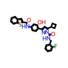 O=C(Nc1ccc(-c2cc(C3CCC3)n(C(=O)NCc3ccccc3F)n2)c(O)c1)c1cc2ccccc2s1